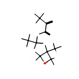 C=C(C(=O)OC1(C(F)(F)F)OC(C)(C)C(C(F)(F)F)(C(F)(F)F)O1)C(F)(F)F